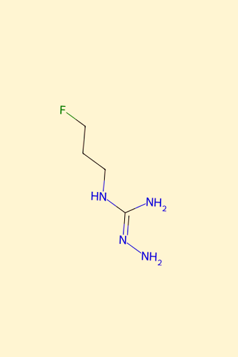 N/N=C(\N)NCCCF